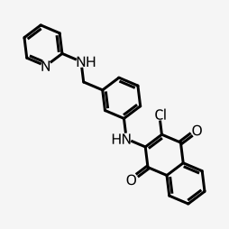 O=C1C(Cl)=C(Nc2cccc(CNc3ccccn3)c2)C(=O)c2ccccc21